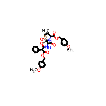 C=C1C[S+]([O-])[C@H]2C(NC(=O)C(C(=O)OCc3ccc(OC)cc3)c3ccccc3)C(=O)N2C1C(=O)OCc1ccc(OC)cc1